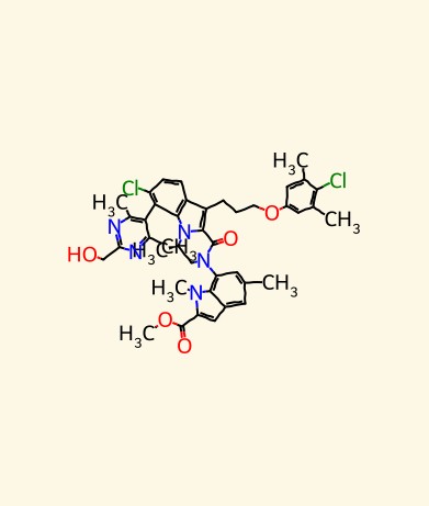 COC(=O)c1cc2cc(C)cc(N3C[C@@H](C)n4c(c(CCCOc5cc(C)c(Cl)c(C)c5)c5ccc(Cl)c(-c6c(C)nc(CO)nc6C)c54)C3=O)c2n1C